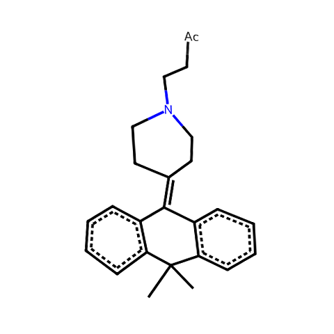 CC(=O)CCN1CCC(=C2c3ccccc3C(C)(C)c3ccccc32)CC1